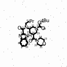 CC(C)CN(C(=O)c1nc2ccccc2[nH]1)C1CC(C(=O)N2CCOCC2)CN(C(=O)OC(C)(C)C)C1